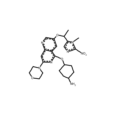 CC(Oc1cnc2cc(N3CCOCC3)nc(OC3CCC(N)CC3)c2c1)c1cnc([N+](=O)[O-])n1C